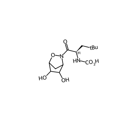 CC(C)(C)C[C@@H](NC(=O)O)C(=O)N1OC2CC1C(O)C2O